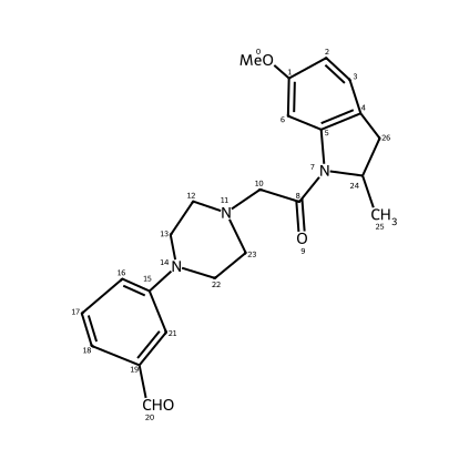 COc1ccc2c(c1)N(C(=O)CN1CCN(c3cccc(C=O)c3)CC1)C(C)C2